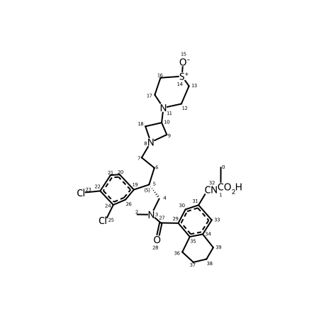 CC(=O)O.CN(C[C@@H](CCN1CC(N2CC[S+]([O-])CC2)C1)c1ccc(Cl)c(Cl)c1)C(=O)c1cc(C#N)cc2c1CCCC2